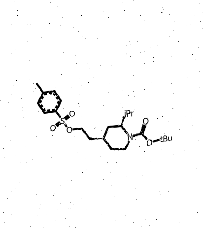 Cc1ccc(S(=O)(=O)OCC[C@@H]2CCN(C(=O)OC(C)(C)C)[C@H](C(C)C)C2)cc1